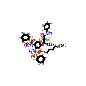 CCCCCCCCCCCCCCOc1ccccc1S(=O)(=O)Nc1ccc(OC(Cl)(C(=O)Nc2ccccc2)C(=O)C(C)(C)C)cc1NS(=O)(=O)c1ccccc1